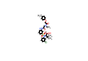 Cc1ccc(OCC(=O)N(C)CC(=O)Nc2cccc(S(=O)(=O)N(c3cccc(Cl)c3)C(C(=O)O)C(C)(C)C)c2)cc1